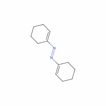 C1=C(N=NC2=CCCCC2)CCCC1